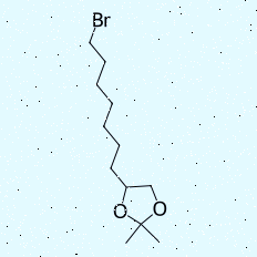 CC1(C)OCC(CCCCCCCBr)O1